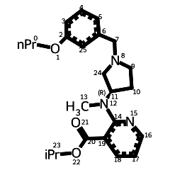 CCCOc1cccc(CN2CC[C@@H](N(C)c3ncccc3C(=O)OC(C)C)C2)c1